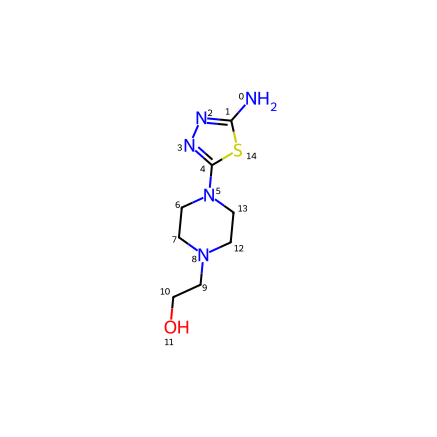 Nc1nnc(N2CCN(CCO)CC2)s1